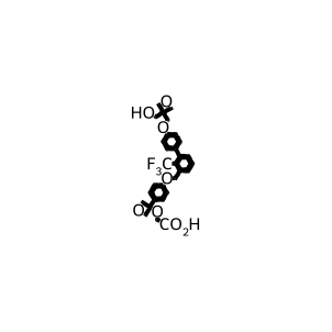 O=C(O)COC1(c2ccc(OCc3cccc(-c4ccc(OCC5(CO)COC5)cc4)c3C(F)(F)F)cc2)COC1